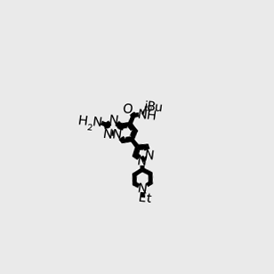 CC[C@H](C)NC(=O)c1cc(-c2cnn(C3CCN(CC)CC3)c2)cn2nc(N)nc12